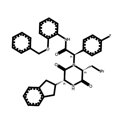 CC(C)C[C@@H]1C(=O)N[C@H](C2Cc3ccccc3C2)C(=O)N1[C@@H](C(=O)Nc1ccccc1OCc1ccccc1)c1ccc(F)cc1